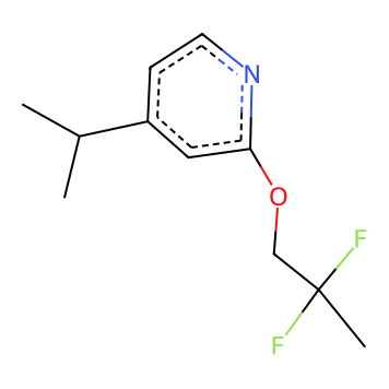 CC(C)c1ccnc(OCC(C)(F)F)c1